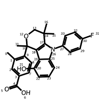 Cc1cc(C(=O)O)ccc1C1(C)OCC(C)(C)c2c1c1c(O)cccc1n2-c1ccc(F)cc1